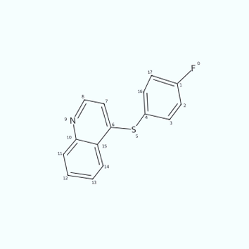 Fc1ccc(Sc2ccnc3ccccc23)cc1